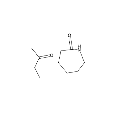 CCC(C)=O.O=C1CCCCCN1